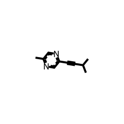 Cc1cnc(C#CC(C)C)cn1